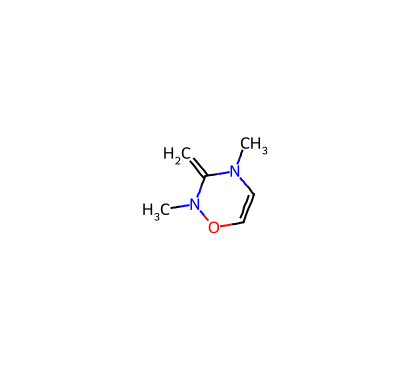 C=C1N(C)C=CON1C